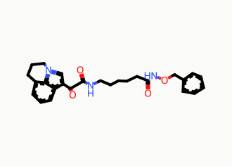 O=C(CCCCCNC(=O)C(=O)c1cn2c3c(cccc13)CCC2)NOCc1ccccc1